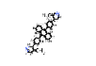 Cc1cnccc1-c1ccc(-c2c3ccccc3c(-c3ccc(-c4cnccc4C)cc3)c3ccccc23)cc1